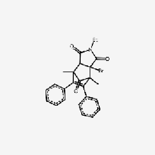 CCN1C(=O)C2C3(C)C(=O)C(C)(C(c4ccccc4)=C3c3ccccc3)C2(Br)C1=O